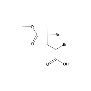 COC(=O)C(C)(Br)CC(Br)C(=O)O